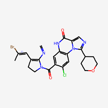 C=NC1=C(/C=C(\C)Br)CCN1C(=O)c1cc2[nH]c(=O)c3cnc(C4CCOCC4)n3c2cc1Cl